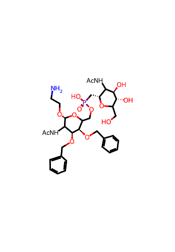 CC(=O)NC1[C@@H](O)[C@H](O)C(CO)O[C@@H]1CP(=O)(O)OCC1O[C@H](OCCN)C(NC(C)=O)[C@H](OCc2ccccc2)[C@@H]1OCc1ccccc1